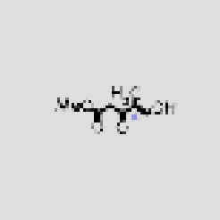 COC(=O)CC(=O)/C(C)=C/O